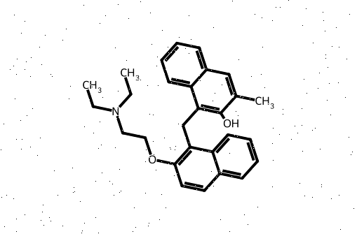 CCN(CC)CCOc1ccc2ccccc2c1Cc1c(O)c(C)cc2ccccc12